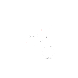 O=COC(=O)C(O)(c1ccccc1)C(O)C(=O)O